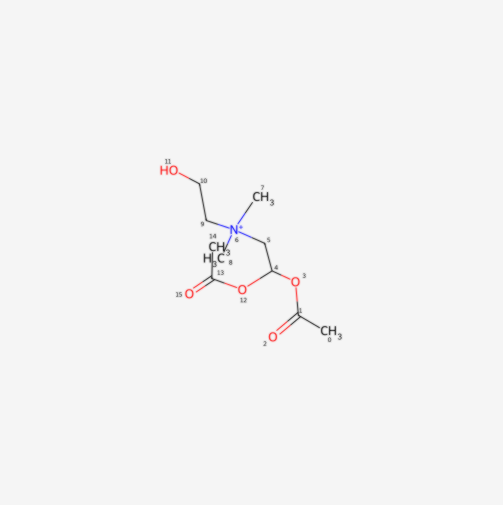 CC(=O)OC(C[N+](C)(C)CCO)OC(C)=O